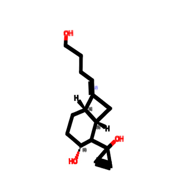 OCCC/C=C1/C[C@@H]2C(C3(O)C#C3)[C@H](O)CC[C@H]12